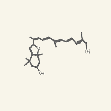 C/C(=C/C=C/C(C)=C/C=C/C=C(\C)CO)C1C=C2C(C)(C)C[C@H](O)CC2(C)O1